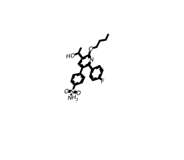 CCCCOc1nc(-c2ccc(F)cc2)c(-c2ccc(S(N)(=O)=O)cc2)cc1C(C)O